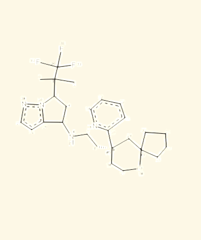 CC(C)(C1CC(NCC[C@@]2(c3ccccn3)CCOC3(CCCC3)C2)c2ccnn21)C(F)(F)F